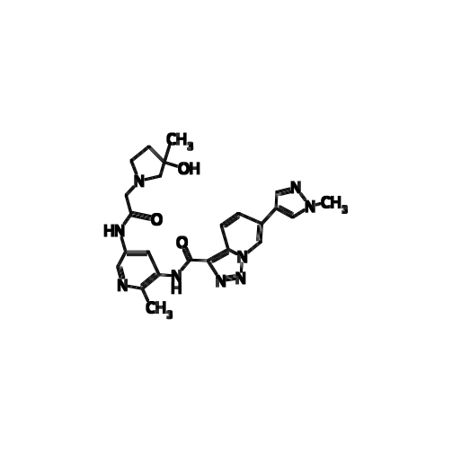 Cc1ncc(NC(=O)CN2CCC(C)(O)C2)cc1NC(=O)c1nnn2cc(-c3cnn(C)c3)ccc12